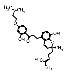 CC(C)=CCCC1(C)C=Cc2c(CCC(=O)c3ccc(OCCN(C)C)cc3O)ccc(O)c2O1